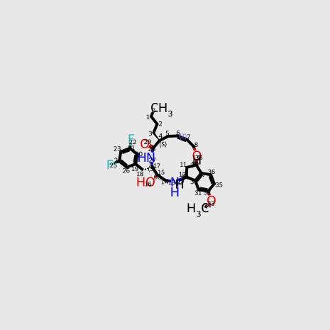 CCCC[C@H]1C/C=C\CO[C@@H]2C[C@H](NC[C@@H](O)[C@H](Cc3cc(F)cc(F)c3)NC1=O)c1cc(OC)ccc12